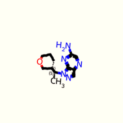 C[C@@H]([C@H]1CCCOC1)n1ncc2ncc(N)nc21